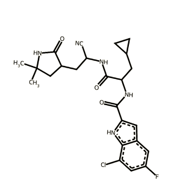 CC1(C)CC(CC(C#N)NC(=O)C(CC2CC2)NC(=O)c2cc3cc(F)cc(Cl)c3[nH]2)C(=O)N1